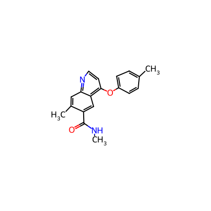 CNC(=O)c1cc2c(Oc3ccc(C)cc3)ccnc2cc1C